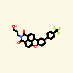 O=c1c2ccc3oc4ccc(-c5ccc(C(F)(F)F)cc5)cc4c4ccc(c(=O)n1CCCO)c2c34